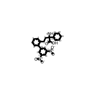 NC(CCc1ccccc1-c1cc([N+](=O)[O-])cc([N+](=O)[O-])c1)(C(=O)O)c1ccccc1